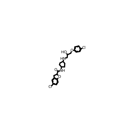 O=C(NC1CCC(NCC(O)COc2ccc(Cl)cc2)CC1)C1Cc2cc(Cl)ccc2O1